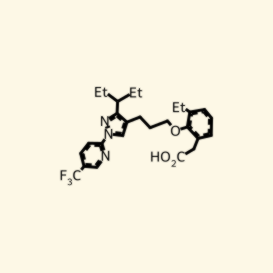 CCc1cccc(CC(=O)O)c1OCCCc1cn(-c2ccc(C(F)(F)F)cn2)nc1C(CC)CC